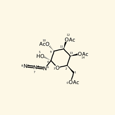 CC(=O)OC[C@H]1O[C@@](O)(N=[N+]=[N-])[C@H](OC(C)=O)[C@@H](OC(C)=O)[C@H]1OC(C)=O